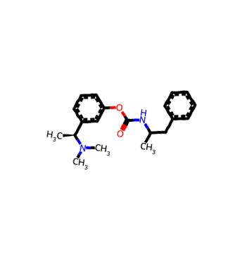 CC(Cc1ccccc1)NC(=O)Oc1cccc([C@H](C)N(C)C)c1